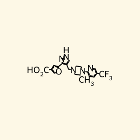 C[C@@H]1CN(Cc2c[nH]nc2-c2cc(C(=O)O)co2)CCN1c1ccc(C(F)(F)F)cn1